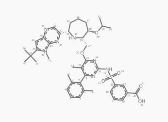 Cc1cccc(C)c1-c1nc(NS(=O)(=O)c2cccc(C(=O)O)c2)nc(OC[C@@H]2N[C@H](c3cnc4cc(C(C)(C)C)n(C)c4n3)CCC[C@H]2OC(C)C)c1C